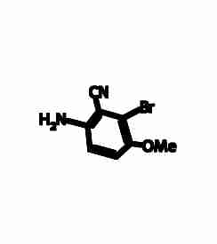 COc1ccc(N)c(C#N)c1Br